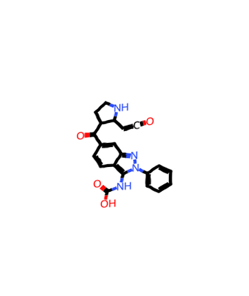 O=C=CC1NCCC1C(=O)c1ccc2c(NC(=O)O)n(-c3ccccc3)nc2c1